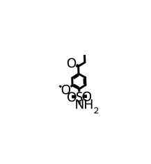 CCC(=O)c1ccc(S(N)(=O)=O)c(OC)c1